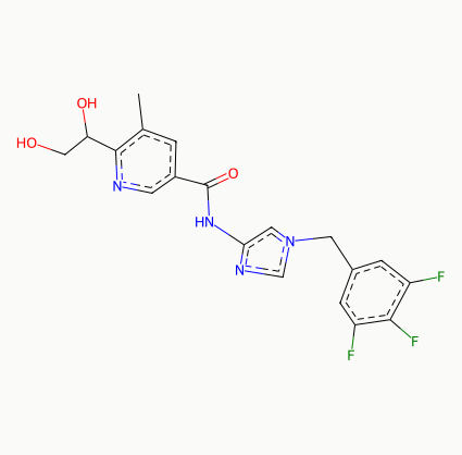 Cc1cc(C(=O)Nc2cn(Cc3cc(F)c(F)c(F)c3)cn2)cnc1C(O)CO